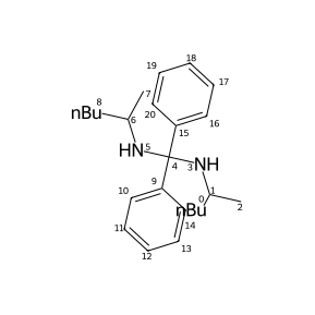 CCCCC(C)NC(NC(C)CCCC)(c1ccccc1)c1ccccc1